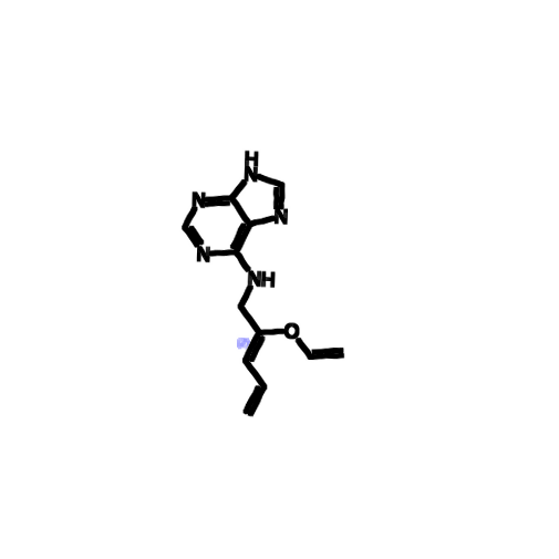 C=C/C=C(/CNc1ncnc2[nH]cnc12)OC=C